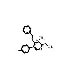 CC[C@H]1OC=C(c2ccc(F)cc2)[C@@H](OCc2ccccc2)[C@H]1C